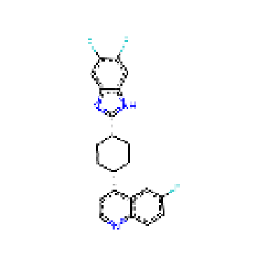 Fc1ccc2nccc([C@H]3CC[C@@H](c4nc5cc(F)c(F)cc5[nH]4)CC3)c2c1